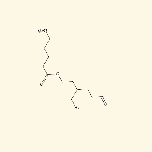 C=CCCC(CCOC(=O)CCCCOC)CC(C)=O